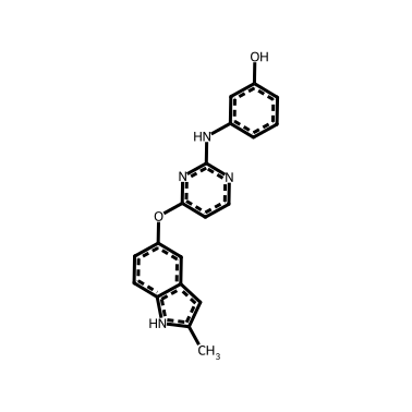 Cc1cc2cc(Oc3ccnc(Nc4cccc(O)c4)n3)ccc2[nH]1